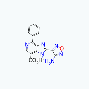 Cn1c(-c2nonc2N)nc2c(-c3ccccc3)ncc(C(=O)O)c21